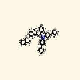 CC1(C)c2ccc(-c3ccc4ccccc4c3)cc2-c2cc(N(c3ccc(-c4ccccc4)cc3)c3ccc(-c4ccccc4)cc3)c3ccccc3c21